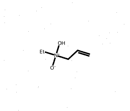 C=CC[N+]([O-])(O)CC